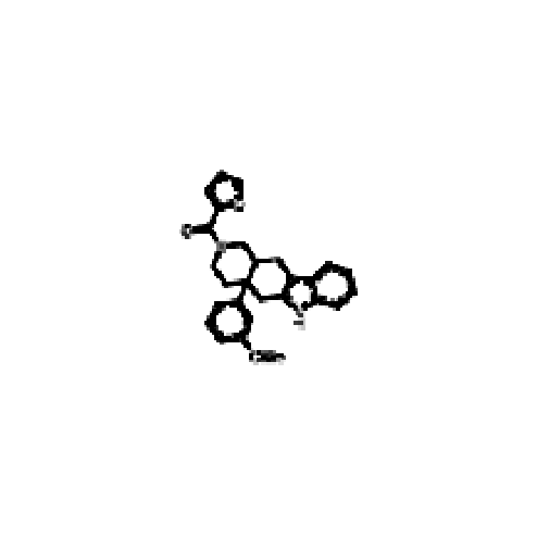 COc1cccc(C23CCN(C(=O)c4ccco4)CC2Cc2c([nH]c4ccccc24)C3)c1